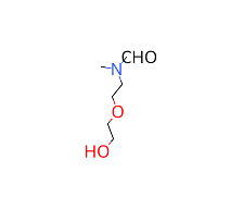 CN(C=O)CCOCCO